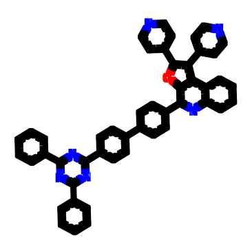 c1ccc(-c2nc(-c3ccccc3)nc(-c3ccc(-c4ccc(-c5nc6ccccc6c6c(-c7ccncc7)c(-c7ccncc7)oc56)cc4)cc3)n2)cc1